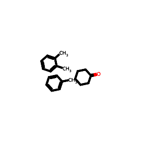 Cc1ccccc1.Cc1ccccc1C.O=C1CCCCC1